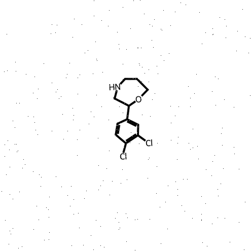 Clc1ccc(C2CNCCCO2)cc1Cl